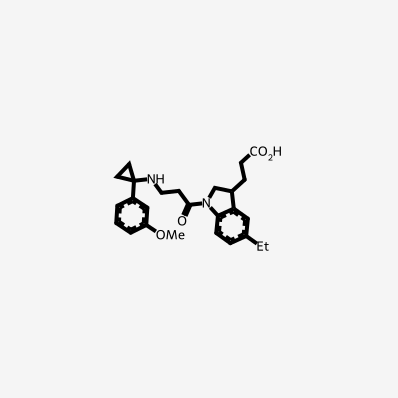 CCc1ccc2c(c1)C(CCC(=O)O)CN2C(=O)CCNC1(c2cccc(OC)c2)CC1